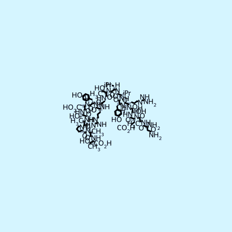 CC(C)C[C@H](NC(=O)[C@@H](NC(=O)[C@H](Cc1ccc(O)cc1)NC(=O)[C@H](CCCNC(=N)N)NC(=O)[C@H](CO)NC(=O)[C@H](CCC(=O)O)NC(=O)[C@H](C)NC(=O)[C@@H](N)CC(N)=O)C(C)C)C(=O)N[C@H](C(=O)NCC(=O)N[C@@H](CCCNC(=N)N)C(=O)N[C@@H](Cc1ccc(O)cc1)C(=O)N[C@@H](CC(=O)O)C(=O)N[C@@H](CO)C(=O)N[C@@H](C)C(=O)N1CCC[C@H]1C(=O)N[C@@H](C)C(=O)N[C@H](C(=O)O)[C@@H](C)O)[C@@H](C)O